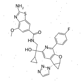 COc1cc(C(=O)NCC(O)(c2cc3c(c(-c4ccc(F)cc4)n2)OC2C[C@@]32n2ccnn2)C2CC2)cc2sc(N)nc12